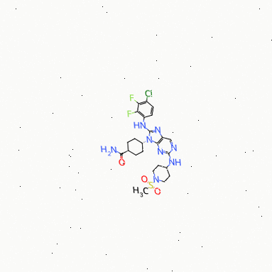 CS(=O)(=O)N1CCC(Nc2ncc3nc(Nc4ccc(Cl)c(F)c4F)n([C@H]4CC[C@H](C(N)=O)CC4)c3n2)CC1